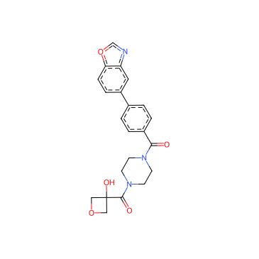 O=C(c1ccc(-c2ccc3ocnc3c2)cc1)N1CCN(C(=O)C2(O)COC2)CC1